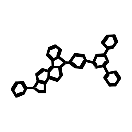 c1ccc(-c2cc(-c3ccc(-n4c5ccccc5c5c6ccc7c(ccn7-c7ccccc7)c6ccc54)cc3)nc(-c3ccccc3)n2)cc1